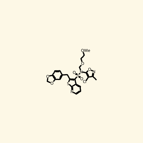 COCCOCN(c1onc(C)c1Cl)S(=O)(=O)c1c(Cc2ccc3c(c2)OCO3)sc2ncccc12